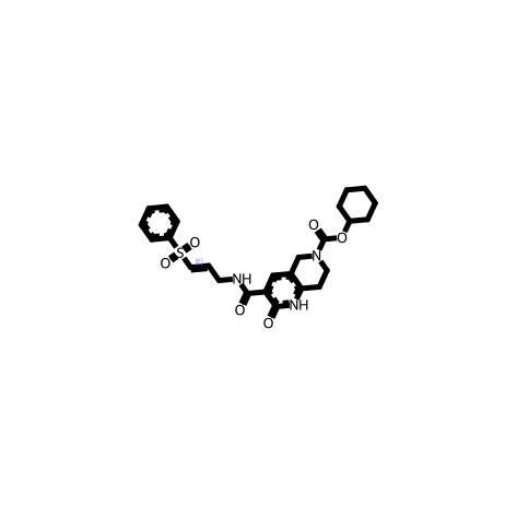 O=C(NC/C=C/S(=O)(=O)c1ccccc1)c1cc2c([nH]c1=O)CCN(C(=O)OC1CCCCC1)C2